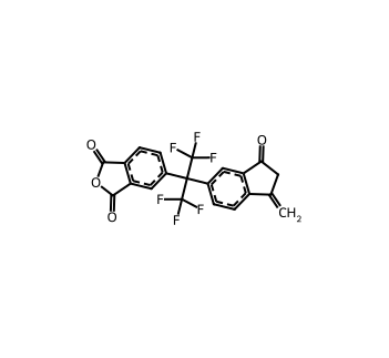 C=C1CC(=O)c2cc(C(c3ccc4c(c3)C(=O)OC4=O)(C(F)(F)F)C(F)(F)F)ccc21